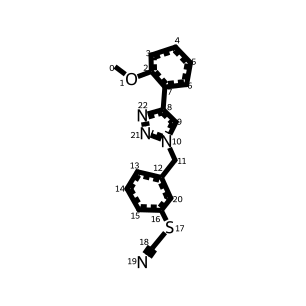 COc1ccccc1-c1cn(Cc2cccc(SC#N)c2)nn1